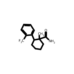 CC1(C(N)=O)CCCCC1c1ccccc1C(F)(F)F